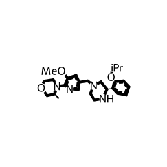 COc1cc(CN2CCN[C@@H](c3ccccc3OC(C)C)C2)cnc1N1CCOC[C@@H]1C